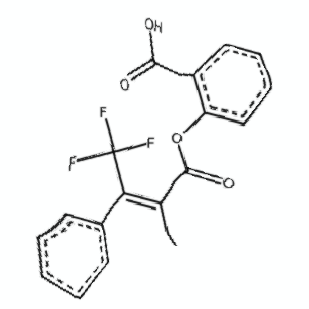 CC(C(=O)Oc1ccccc1C(=O)O)=C(c1ccccc1)C(F)(F)F